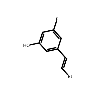 [CH2]CC=Cc1cc(O)cc(F)c1